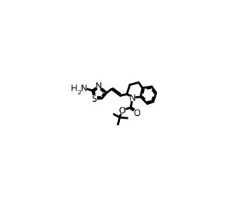 CC(C)(C)OC(=O)N1c2ccccc2CCC1/C=C/c1csc(N)n1